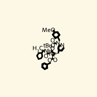 COc1ccc(CN(C(=O)OC(C)(C)C)c2cc(C[C@H]3C(=O)N(C(=O)N[C@H](C)C4CCCCC4)[C@@H]3C(=O)OCc3ccccc3)ccn2)cc1